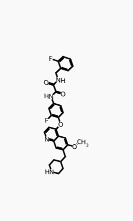 COc1cc2c(Oc3ccc(NC(=O)C(=O)NCc4ccccc4F)cc3F)ccnc2cc1CC1CCNCC1